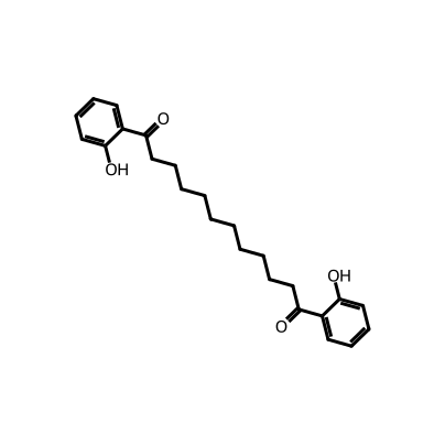 O=C(CCCCCCCCCCC(=O)c1ccccc1O)c1ccccc1O